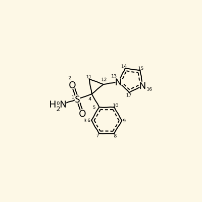 NS(=O)(=O)C1(c2ccccc2)CC1n1ccnc1